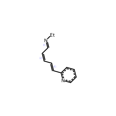 CC/N=C/C=C\C=C\c1ccccn1